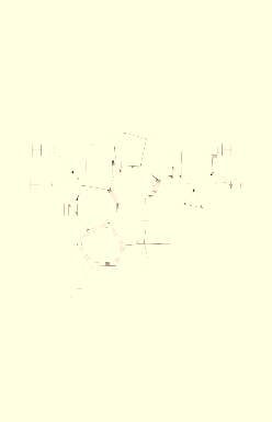 CC(C)(C)[C@H](Nc1cc(F)cc(C(F)(F)F)c1)C(=O)N1CCC[C@H]1C(=O)NC1(C(=O)O)CC1